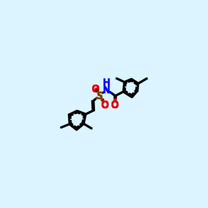 Cc1ccc(/C=C/S(=O)(=O)NC(=O)c2ccc(C)cc2C)c(C)c1